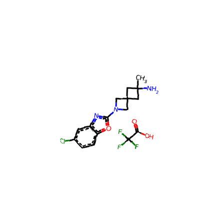 CC1(N)CC2(CN(c3nc4cc(Cl)ccc4o3)C2)C1.O=C(O)C(F)(F)F